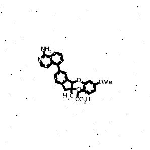 COc1ccc(CC(=O)O)c(OC2c3cc(-c4cccc5c(N)nccc45)ccc3CC2(C)C)c1